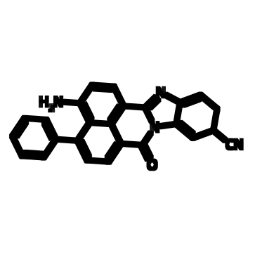 N#CC1C=c2c(nc3c4ccc(N)c5c(-c6ccccc6)ccc(c(=O)n23)c54)=CC1